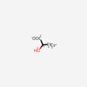 CCC(O)C(=O)[O-].[Cs+]